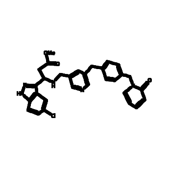 COC(=O)CC(NCc1cncc(Cc2ccc(Cn3ccccc3=O)cc2)c1)c1n[nH]c2ccc(Cl)cc12